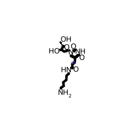 NCCCCCCNC(=O)/C=C/c1cn([C@H]2CC(O)[C@@H](CO)O2)c(=O)[nH]c1=O